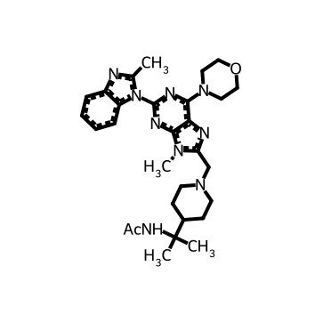 CC(=O)NC(C)(C)C1CCN(Cc2nc3c(N4CCOCC4)nc(-n4c(C)nc5ccccc54)nc3n2C)CC1